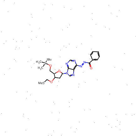 CSCOC1C[C@H](n2cnc3c(N=NC(=O)c4ccccc4)ncnc32)OC1CO[Si](C)(C)C(C)(C)C